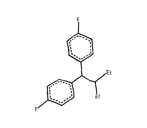 CCC(CC)C(c1ccc(F)cc1)c1ccc(F)cc1